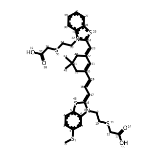 CSc1ccc2c(c1)N(CCSCC(=O)O)/C(=C/C=C/C1=CC(=C/c3sc4ccccc4[n+]3CCSCC(=O)O)/CC(C)(C)C1)S2